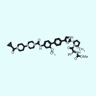 COC(=O)N[C@H](C(=O)N1[C@@H](C)CC[C@H]1c1nc(-c2ccc(C3=CC=C(NC(=O)N4CCN(C5CCN(C(=O)C6CC6)CC5)CC4)CC3OC(F)(F)F)cc2)c[nH]1)C(C)C